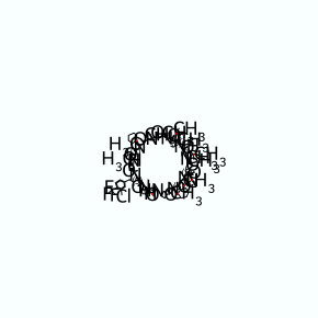 CC[C@H](C)[C@@H]1NC(=O)[C@H](CC(C)C)N(C)C(=O)C[C@@H](C(=O)N2CCCC2)N(C)C(=O)[C@H](C2CCCCC2)N(C)C(=O)C2(CCC2)NC(=O)[C@@H]2CCCN2C(=O)[C@H](CCc2ccc(C(F)(F)F)c(Cl)c2)NC(=O)CN(C)C(=O)[C@H](CC2CCCCC2)N(C)C(=O)CN(C)C(=O)CN(C)C1=O